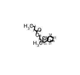 CCCC(=O)OCC[N+](C)(C)Cc1ccccc1